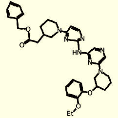 CCOc1ccccc1OC1CCCN(c2cncc(Nc3nccc(N4CCCC(CC(=O)OCc5ccccc5)C4)n3)n2)C1